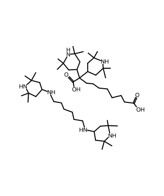 CC1(C)CC(C(CCCCCCCC(=O)O)(C(=O)O)C2CC(C)(C)NC(C)(C)C2)CC(C)(C)N1.CC1(C)CC(NCCCCCCNC2CC(C)(C)NC(C)(C)C2)CC(C)(C)N1